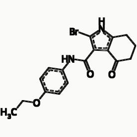 CCOc1ccc(NC(=O)c2c(Br)[nH]c3c2C(=O)CCC3)cc1